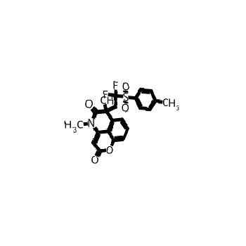 Cc1ccc(S(=O)(=O)C(F)(F)CC2(C)C(=O)N(C)c3cc(=O)oc4cccc2c34)cc1